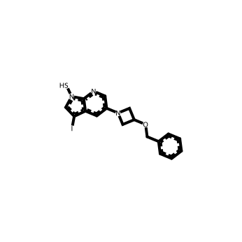 Sn1cc(I)c2cc(N3CC(OCc4ccccc4)C3)cnc21